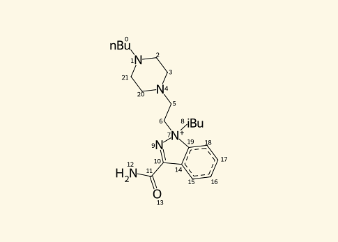 CCCCN1CCN(CC[N+]2(C(C)CC)N=C(C(N)=O)c3ccccc32)CC1